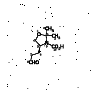 CC1(C)OC[C@H](CCC=O)N1C(=O)O